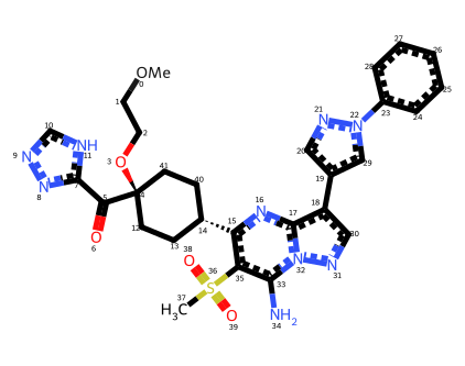 COCCO[C@]1(C(=O)c2nnc[nH]2)CC[C@@H](c2nc3c(-c4cnn(-c5ccccc5)c4)cnn3c(N)c2S(C)(=O)=O)CC1